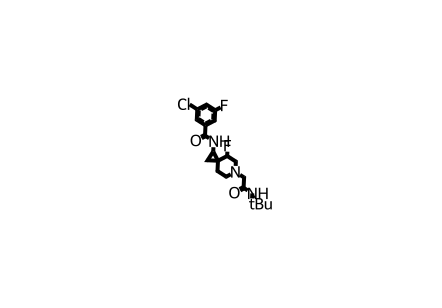 CC(C)(C)NC(=O)CN1CCC2(CC2NC(=O)c2cc(F)cc(Cl)c2)C(F)C1